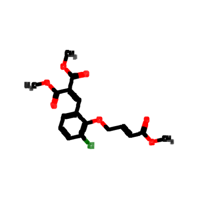 COC(=O)/C=C/COc1c(Cl)cccc1C=C(C(=O)OC)C(=O)OC